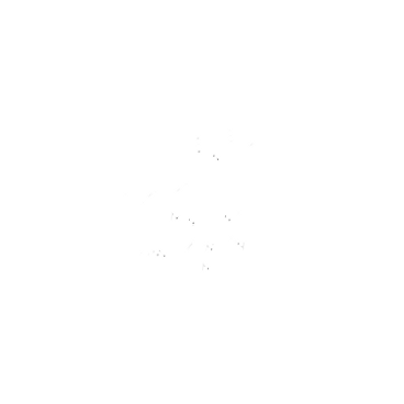 [C-]#[N+]c1cnn(-c2ncccn2)c1/N=N/c1c(O)c(C(=O)Nc2ccc(C)cc2)cc2ccccc12